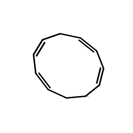 [CH]1C=CC=CCC=CC=CC1